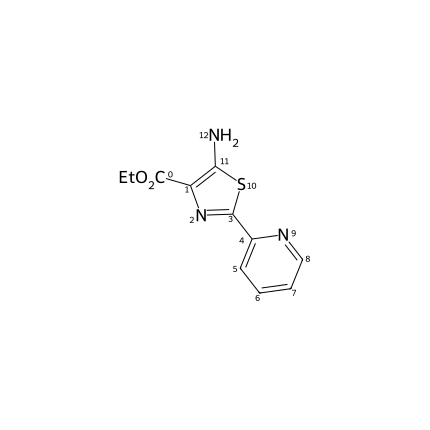 CCOC(=O)c1nc(-c2ccccn2)sc1N